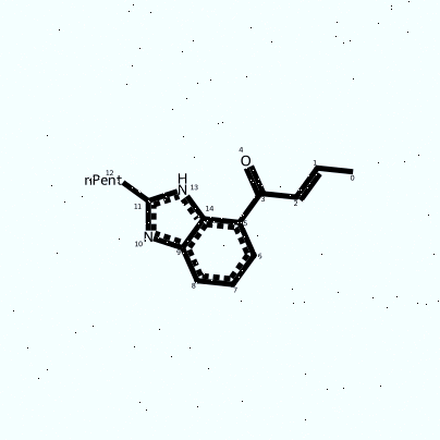 CC=CC(=O)c1cccc2nc(CCCCC)[nH]c12